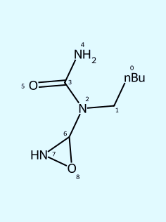 CCCCCN(C(N)=O)C1NO1